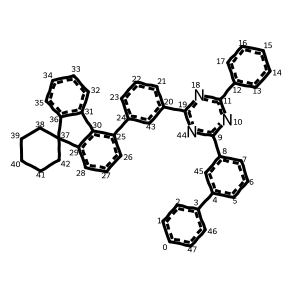 c1ccc(-c2cccc(-c3nc(-c4ccccc4)nc(-c4cccc(-c5cccc6c5-c5ccccc5C65CCCCC5)c4)n3)c2)cc1